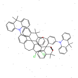 CC1(C)c2ccccc2N(c2ccc3c(c2)C2(c4ccccc4C(C)(C)c4ccccc42)c2c(Cl)c(Cl)c4c(c2CC3)C2(c3cc(N5c6ccccc6C(C)(C)c6ccccc65)ccc3CC4)c3ccccc3C(C)(C)c3ccccc32)c2ccccc21